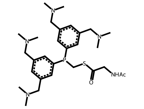 CC(=O)NCC(=O)SCP(c1cc(CN(C)C)cc(CN(C)C)c1)c1cc(CN(C)C)cc(CN(C)C)c1